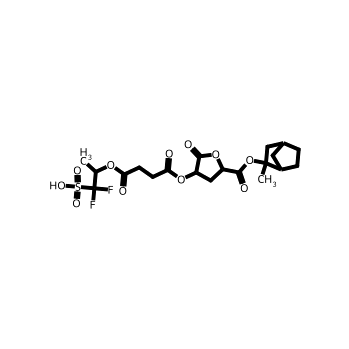 CC(OC(=O)CCC(=O)OC1CC(C(=O)OC2(C)CC3CCC2C3)OC1=O)C(F)(F)S(=O)(=O)O